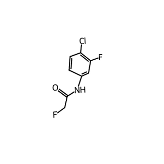 O=C(CF)Nc1ccc(Cl)c(F)c1